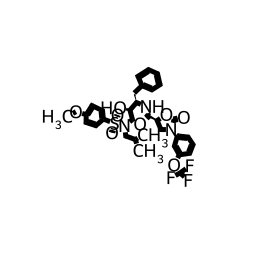 COc1ccc(S(=O)(=O)N(CC(C)C)C[C@@H](O)[C@H](Cc2ccccc2)NC(=O)[C@@H]2CN(c3cccc(OC(F)(F)F)c3)C(=O)O2)cc1